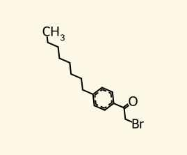 CCCCCCCCc1ccc(C(=O)CBr)cc1